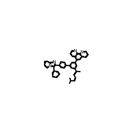 C/C(=C\C=C/C(C)C)c1cc(-c2ccc(-c3nc4ccccn4c3-c3ccccc3)cc2)cc(-c2cc3cccnc3c3ncccc23)c1